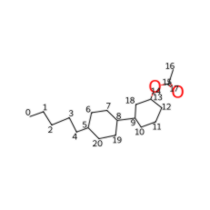 CCCCCC1CCC(C2CCCC(OC(C)=O)C2)CC1